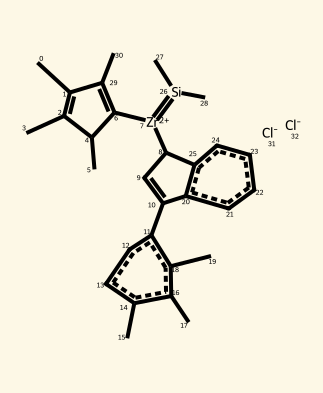 CC1=C(C)C(C)[C]([Zr+2]([CH]2C=C(c3ccc(C)c(C)c3C)c3ccccc32)=[Si](C)C)=C1C.[Cl-].[Cl-]